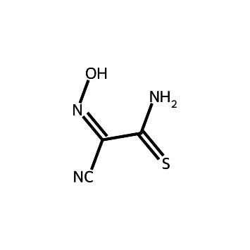 N#CC(=NO)C(N)=S